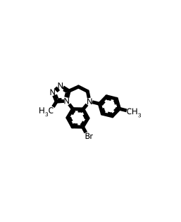 Cc1ccc(N2CCc3nnc(C)n3-c3ccc(Br)cc32)cc1